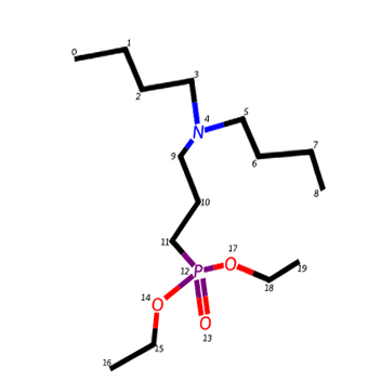 CCCCN(CCCC)CCCP(=O)(OCC)OCC